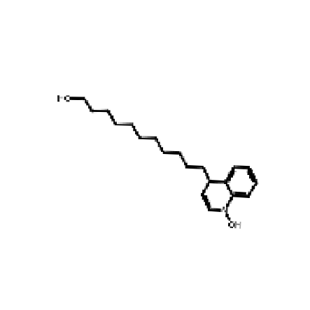 OCCCCCCCCCCCC1C=CN(O)c2ccccc21